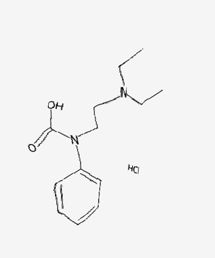 CCN(CC)CCN(C(=O)O)c1ccccc1.Cl